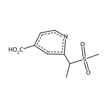 CC(c1cc(C(=O)O)ccn1)S(C)(=O)=O